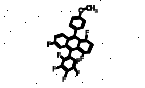 COc1ccc(-c2c3ccc(F)cc3c(-c3c(F)c(F)c(F)c(F)c3F)c3c(F)ccc(F)c23)cc1